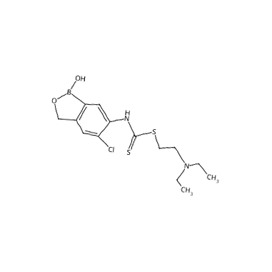 CCN(CC)CCSC(=S)Nc1cc2c(cc1Cl)COB2O